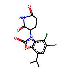 CC(C)c1cc(F)c(F)c2c1oc(=O)n2C1CCC(=O)NC1=O